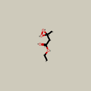 CCOC(=O)CC1(C)OO1